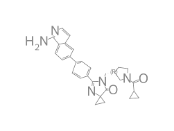 Nc1nccc2cc(-c3ccc(C4=NC5(CC5)C(=O)N4C[C@@H]4CCN(C(=O)C5CC5)C4)cc3)ccc12